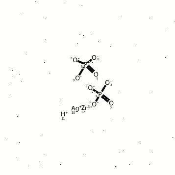 O=P([O-])([O-])[O-].O=P([O-])([O-])[O-].[Ag+].[H+].[Zr+4]